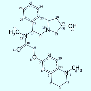 CN1CCCc2cc(OCC(=O)N(C)C(CN3CC[C@H](O)C3)c3ccccc3)ccc21